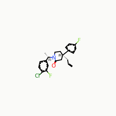 C=CC[C@@]1(c2ccc(F)cc2)CCN([C@@H](C)c2ccc(Cl)c(F)c2)C(=O)C1